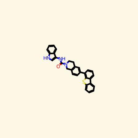 O=C(Nc1c[nH]c2ccccc12)N1CCc2cc(-c3cccc4c3sc3ccccc34)ccc2C1